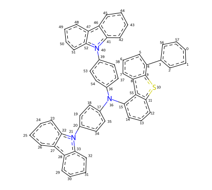 c1ccc(-c2cccc3c2sc2cccc(N(c4ccc(-n5c6ccccc6c6ccccc65)cc4)c4ccc(-n5c6ccccc6c6ccccc65)cc4)c23)cc1